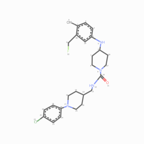 O=Nc1ccc(NC2CCN(C(=O)NCC3CCN(c4ccc(Cl)cc4)CC3)CC2)cc1CF